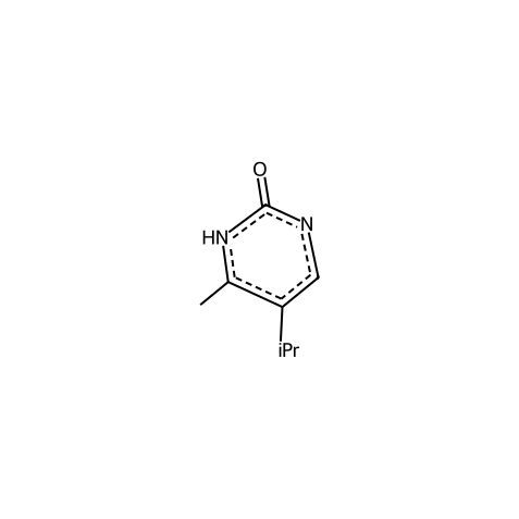 Cc1[nH]c(=O)ncc1C(C)C